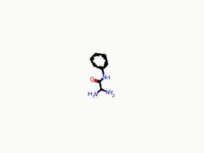 NC(N)C(=O)Nc1ccccc1